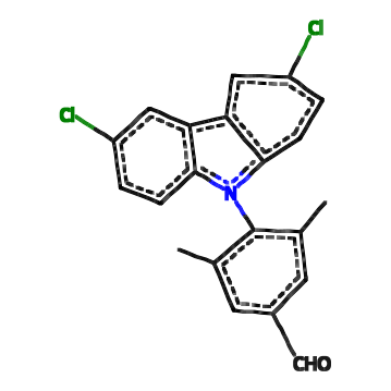 Cc1cc(C=O)cc(C)c1-n1c2ccc(Cl)cc2c2cc(Cl)ccc21